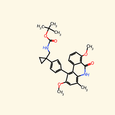 COc1cc(C)c2[nH]c(=O)c3c(OC)cccc3c2c1-c1ccc(C2(CNC(=O)OC(C)(C)C)CC2)cc1